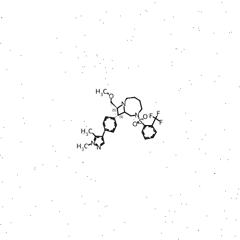 COC[C@@H]1[C@@H](c2ccc(-c3cnn(C)c3C)cc2)C2CN(S(=O)(=O)c3ccccc3C(F)(F)F)CCCCN21